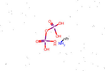 CCCN.O=P(O)(O)OP(=O)(O)O